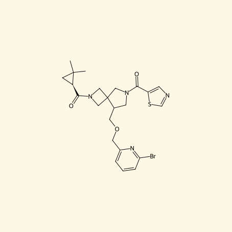 CC1(C)C[C@@H]1C(=O)N1CC2(CN(C(=O)c3cncs3)CC2COCc2cccc(Br)n2)C1